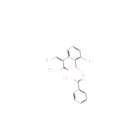 CCC/C=C(\C(=O)OC)c1cccc(C)c1CO/N=C(\C)c1ccccc1